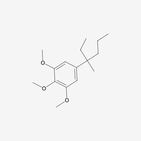 CCCC(C)(CC)c1cc(OC)c(OC)c(OC)c1